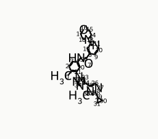 Cc1ccc(NC(=O)c2ccnc(N3CCOCC3)c2)cc1-n1cc(-c2cnc(C3CC3)n2C)nn1